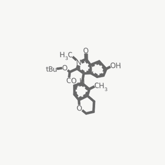 Cc1c(-c2c(C(OC(C)(C)C)C(=O)O)n(C)c(=O)c3cc(O)ccc23)ccc2c1CCCO2